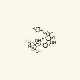 Cc1nn(CCN2CCN(C)CC2)c2[nH]c(-c3ccccc3Cl)c(O)c(=O)c12.O=C(O)CC(O)(CC(=O)O)C(=O)O